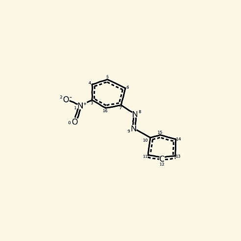 O=[N+]([O-])c1cccc(N=Nc2ccccc2)c1